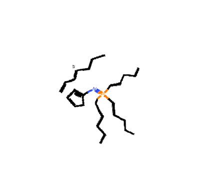 C=CC=CCCC.CCCCCP(CCCCC)(CCCCC)=NC1=CC=CC1.[Ti]